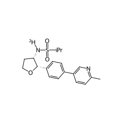 [2H]N([C@H]1CCO[C@H]1c1ccc(-c2ccc(C)nc2)cc1)S(=O)(=O)C(C)C